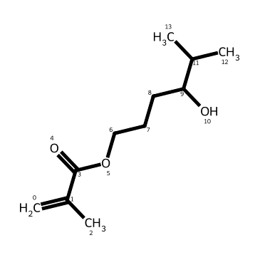 C=C(C)C(=O)OCCCC(O)[C](C)C